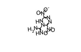 N=C(N)N1NC([N+](=O)[O-])=NN=C1[N+](=O)[O-]